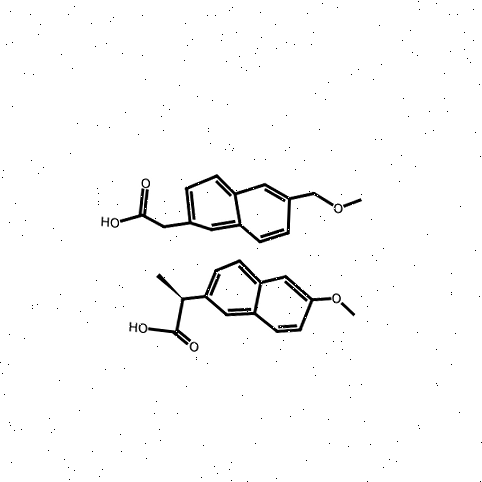 COCc1ccc2cc(CC(=O)O)ccc2c1.COc1ccc2cc([C@H](C)C(=O)O)ccc2c1